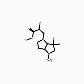 CCC(CN1CCC2C1C(F)(F)CN2C(=O)O)C(=O)OC(C)(C)C